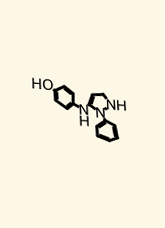 Oc1ccc(NC2=CCNN2c2ccccc2)cc1